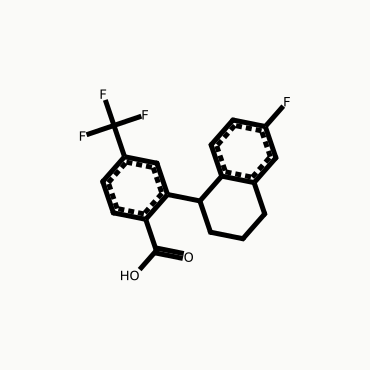 O=C(O)c1ccc(C(F)(F)F)cc1C1CCCc2cc(F)ccc21